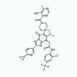 Cc1ncnc(C(=O)N2CCC3(CC2)CC(C)c2c3c(=O)n3nc(-c4ccc(C5CC5)nc4)nc3n2CC(=O)Nc2ccc(C(F)(F)F)cc2Cl)c1O